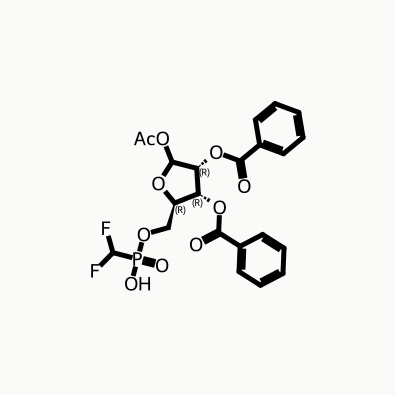 CC(=O)OC1O[C@H](COP(=O)(O)C(F)F)[C@@H](OC(=O)c2ccccc2)[C@H]1OC(=O)c1ccccc1